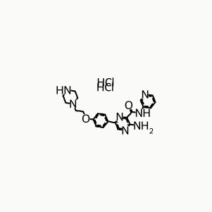 Cl.Cl.Nc1ncc(-c2ccc(OCCN3CCNCC3)cc2)nc1C(=O)Nc1cccnc1